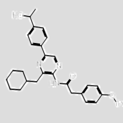 CC(C)Oc1ccc(CC(=O)Nc2ncc(-c3ccc(C(C)O)cc3)nc2CC2CCCCC2)cc1